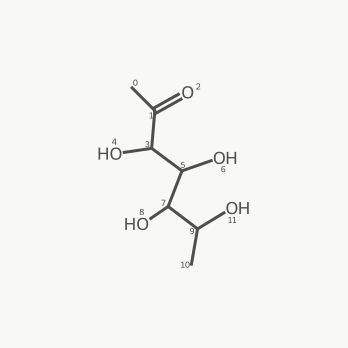 CC(=O)C(O)C(O)C(O)C(C)O